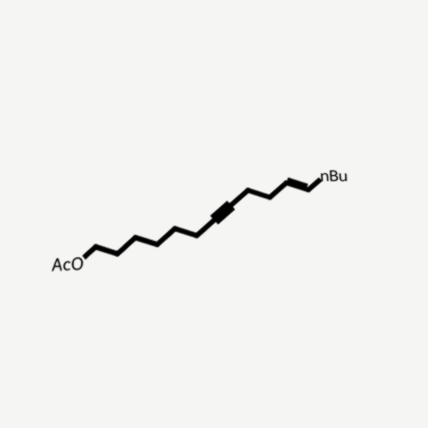 CCCCC=CCCC#CCCCCCCOC(C)=O